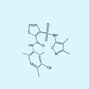 Cc1cc(C)c(NC(=O)c2sccc2S(=O)(=O)Nc2onc(C)c2C)c(C)c1C#N